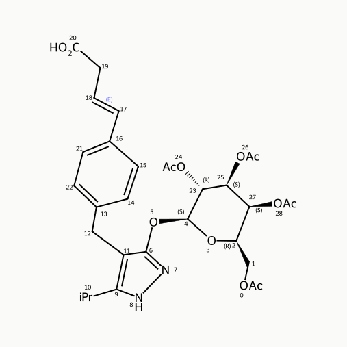 CC(=O)OC[C@H]1O[C@@H](Oc2n[nH]c(C(C)C)c2Cc2ccc(/C=C/CC(=O)O)cc2)[C@H](OC(C)=O)[C@@H](OC(C)=O)[C@H]1OC(C)=O